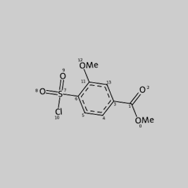 COC(=O)c1ccc(S(=O)(=O)Cl)c(OC)c1